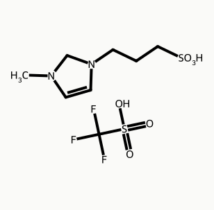 CN1C=CN(CCCS(=O)(=O)O)C1.O=S(=O)(O)C(F)(F)F